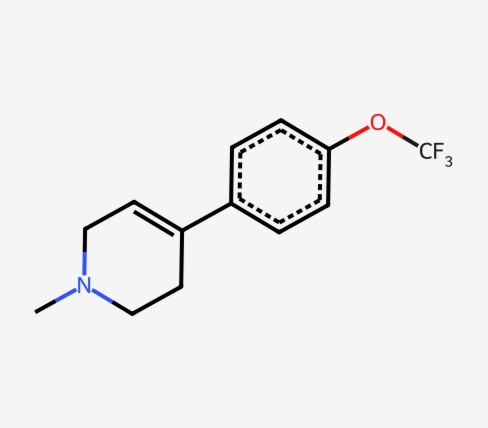 CN1CC=C(c2ccc(OC(F)(F)F)cc2)CC1